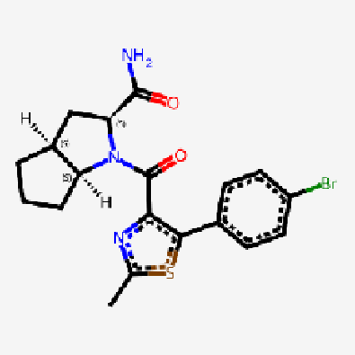 Cc1nc(C(=O)N2[C@H](C(N)=O)C[C@@H]3CCC[C@@H]32)c(-c2ccc(Br)cc2)s1